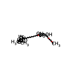 CCCCCCCCCC[C@H](O)[C@H]1CC[C@H]([C@H]2CC[C@H](C(O)CCCCCCCCCCCCCC([18F])C3=C(C)C(=O)C(OC)=C(C)C3=O)O2)O1